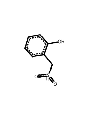 O=[SH](=O)Cc1[c]cccc1O